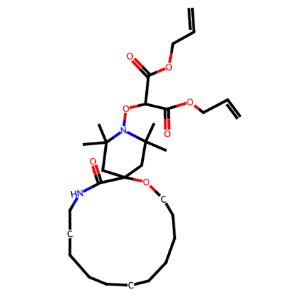 C=CCOC(=O)C(ON1C(C)(C)CC2(CC1(C)C)OCCCCCCCCCCCNC2=O)C(=O)OCC=C